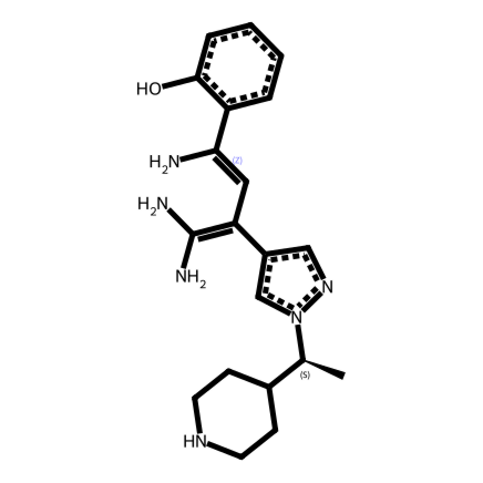 C[C@@H](C1CCNCC1)n1cc(C(/C=C(\N)c2ccccc2O)=C(N)N)cn1